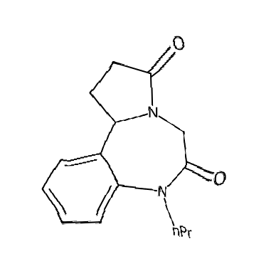 CCCN1C(=O)CN2C(=O)CCC2c2ccccc21